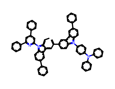 C=C(/C=c1\c(=C/C)n(-c2cc(-c3ccccc3)cc(-c3ccccc3)n2)c2ccc(-c3ccccc3)cc12)c1ccc2c(c1)c1cc(-c3ccccc3)ccc1n2-c1ccc(N(c2ccccc2)c2ccccc2)cc1